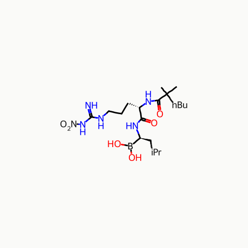 CCCCC(C)(C)C(=O)N[C@@H](CCCNC(=N)N[N+](=O)[O-])C(=O)N[C@@H](CC(C)C)B(O)O